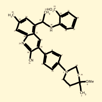 COC1(C)CCN(c2ccc(-c3cc4c(C(C)Nc5ccccc5C(=O)O)cc(C)cc4nc3C#N)cc2)CC1